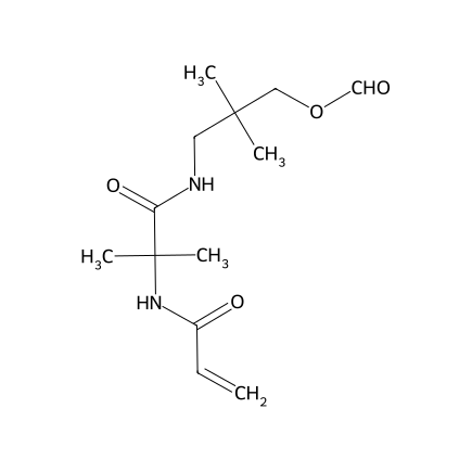 C=CC(=O)NC(C)(C)C(=O)NCC(C)(C)COC=O